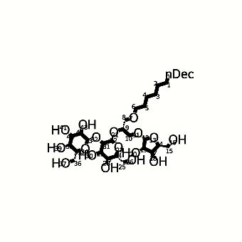 CCCCCCCCCCCCCCCCOC[C@H](CO[C@H]1O[C@@H](CO)C(O)[C@H]1O)O[C@@H]1O[C@H](CO)[C@@H](O)C(O)C1O[C@@H]1O[C@H](CO)[C@@H](O)C(O)C1O